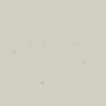 CN1C2CCCC1CC(NC(=O)c1cccc3oc(N4CCNC(=O)C4)nc13)C2.Cl